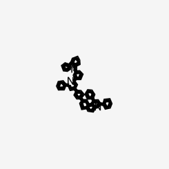 c1ccc(-c2cc(-c3ccc(-c4ccc5ccc6nc(-c7ccccc7)cc(-c7ccccc7)c6c5c4)cc3)cc(-c3cccc(-n4c5ccccc5c5ccccc54)c3)n2)cc1